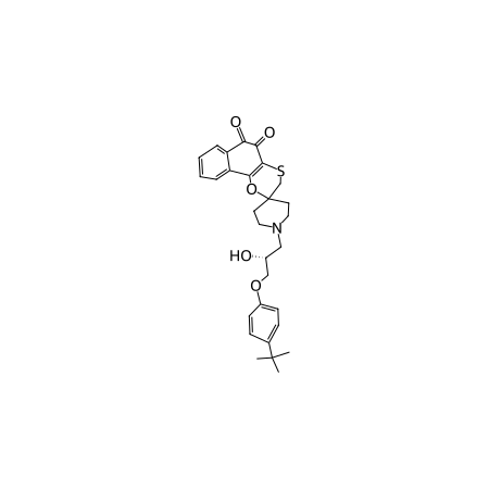 CC(C)(C)c1ccc(OC[C@H](O)CN2CCC3(CC2)CSC2=C(O3)c3ccccc3C(=O)C2=O)cc1